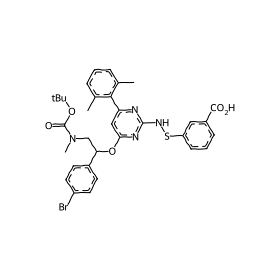 Cc1cccc(C)c1-c1cc(OC(CN(C)C(=O)OC(C)(C)C)c2ccc(Br)cc2)nc(NSc2cccc(C(=O)O)c2)n1